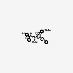 COc1ccc(Nc2nc(NCCNc3c4ccc(Cl)cc4nc4ccc(OC)cc34)nc(N3CCN(c4ccccc4)CC3)n2)cc1